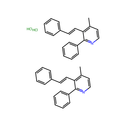 Cc1ccnc(-c2ccccc2)c1C=Cc1ccccc1.Cc1ccnc(-c2ccccc2)c1C=Cc1ccccc1.Cl.Cl